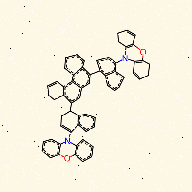 C1=CC2=C(CC1)OC1=C(CCC=C1)N2c1ccc(-c2cc3cc(C4CC=C(N5c6ccccc6Oc6ccccc65)c5ccccc54)c4c(c3c3ccccc23)C=CCC4)c2ccccc12